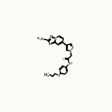 Nc1nc2cc(-c3cnn(CC(=O)Nc4ccc(OCCO)cc4)c3)ccn2n1